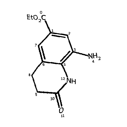 CCOC(=O)c1cc(N)c2c(c1)CCC(=O)N2